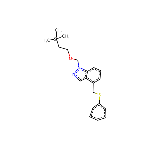 C[Si](C)(C)CCOCn1ncc2c(CSc3ccccc3)cccc21